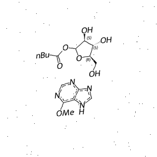 CCCCC(=O)OC1O[C@H](CO)[C@@H](O)[C@@H]1O.COc1ncnc2nc[nH]c12